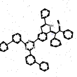 C=C=C(/C(=C1\NC(c2ccccc2)=Cc2cc(-c3nc(-c4cccc(-c5ccccc5)c4)nc(-c4cccc(-c5ccccc5)c4)n3)ccc21)c1ccccc1)c1ccccc1